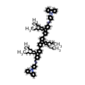 CCCCCCC1(CCCCCC)c2cc(/C=C/c3ccc(-n4c5ccccc5c5ccccc54)cc3)ccc2-c2ccc(-c3ccc4c(c3)C(CCCCCC)(CCCCCC)c3cc(-c5ccc6c(c5)C(CCCCCC)(CCCCCC)c5cc(/C=C/c7ccc(-n8c9ccccc9c9ccccc98)cc7)ccc5-6)ccc3-4)cc21